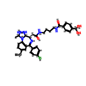 COc1ccc2c(c1)C(c1ccc(Cl)cc1)=N[C@@H](CC(=O)NCCCCNC(=O)c1ccc(B(O)O)cc1)C1NNC(C)N21